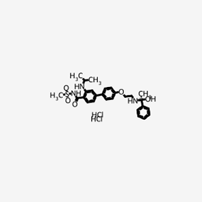 CC(C)Nc1cc(-c2ccc(OCCN[C@@](C)(O)c3ccccc3)cc2)ccc1C(=O)NS(C)(=O)=O.Cl.Cl